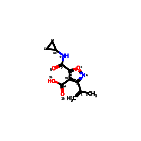 C=C(C)c1noc(C(=O)NC2CC2)c1C(=O)O